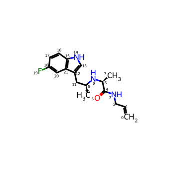 C=CCNC(=O)[C@H](C)N[C@@H](C)Cc1c[nH]c2ccc(F)cc12